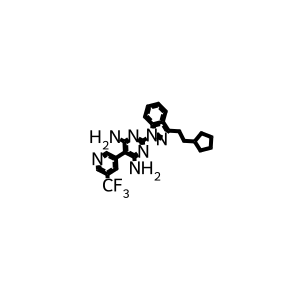 Nc1nc(-n2nc(CCC3CCCC3)c3ccccc32)nc(N)c1-c1cncc(C(F)(F)F)c1